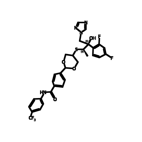 C[C@@H](SC1COC(c2ccc(C(=O)Nc3ccc(C(F)(F)F)cc3)cc2)OC1)[C@](O)(Cn1cncn1)c1ccc(F)cc1F